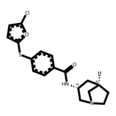 O=C(N[C@@H]1C[C@H]2CCN(C2)C1)c1ccc(Sc2ccc(Cl)o2)cc1